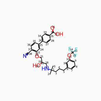 CC(C)(CCCc1cccc(OC(F)(F)F)c1)NC[C@@H](O)COc1cc(-c2ccc(C(=O)O)cc2)ccc1C#N